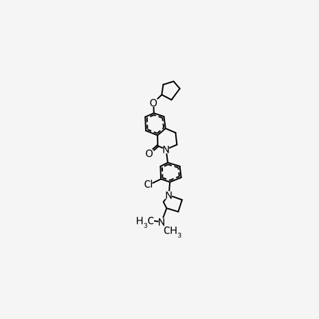 CN(C)C1CCN(c2ccc(N3CCc4cc(OC5CCCC5)ccc4C3=O)cc2Cl)C1